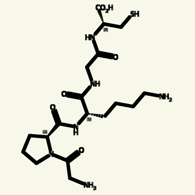 NCCCC[C@H](NC(=O)[C@@H]1CCCN1C(=O)CN)C(=O)NCC(=O)N[C@@H](CS)C(=O)O